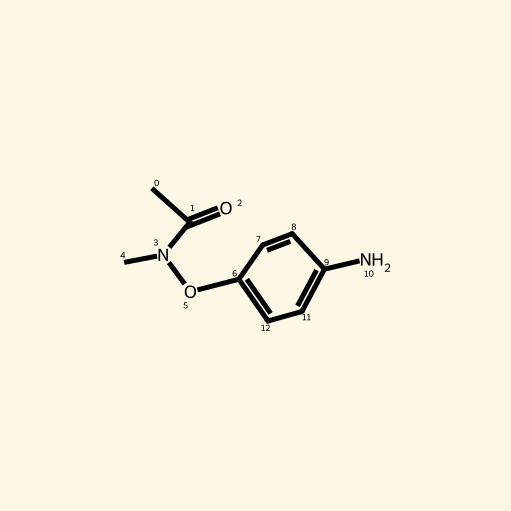 CC(=O)N(C)Oc1ccc(N)cc1